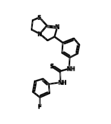 Fc1cccc(NC(=S)Nc2cccc(C3CN4CCSC4=N3)c2)c1